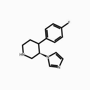 Fc1ccc(C2CCNC[C@@H]2n2ccnc2)cc1